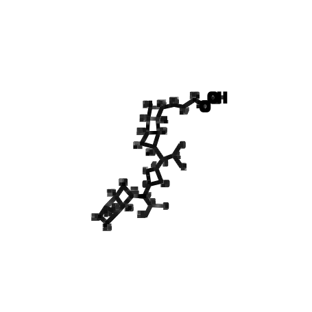 CC(C)C(C1CC(C(C(C)C)[C@@H]2CC3C4CCC4C32)C1)C1CC2C3CC(CCCOO)C3C21